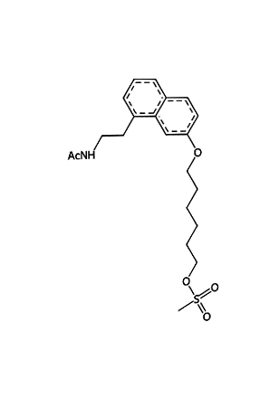 CC(=O)NCCc1cccc2ccc(OCCCCCCOS(C)(=O)=O)cc12